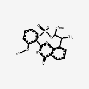 CCCCCC(OS(C)(=O)=O)C(C)c1cccc2c(=O)[nH]c(-c3ccccc3OCCC)nc12